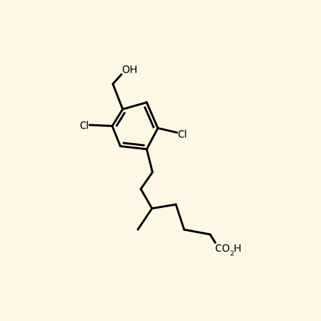 CC(CCCC(=O)O)CCc1cc(Cl)c(CO)cc1Cl